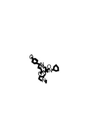 CCN1CCCC1CN1C(=O)c2cc(-c3ccc(OC)cc3)nn2CC1(C)C(=O)NC1CCCCC1